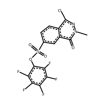 Cn1nc(Cl)c2ccc(S(=O)(=O)Oc3c(F)c(F)c(F)c(F)c3F)cc2c1=O